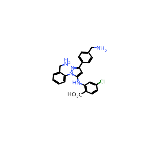 NCc1ccc(-c2cc(Nc3cc(Cl)ccc3C(=O)O)n(-c3ccccc3CN)n2)cc1